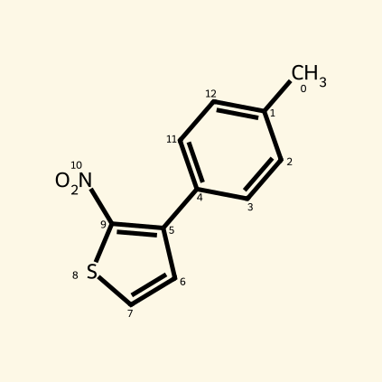 Cc1ccc(-c2ccsc2[N+](=O)[O-])cc1